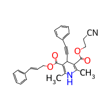 CC1=C(C(=O)OCC=Cc2ccccc2)C(C#Cc2ccccc2)C(C(=O)OCCC#N)=C(C)N1